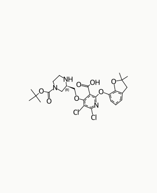 CC(C)(C)OC(=O)N1CCN[C@@H](COc2c(Cl)c(Cl)nc(Oc3cccc4c3OC(C)(C)C4)c2C(=O)O)C1